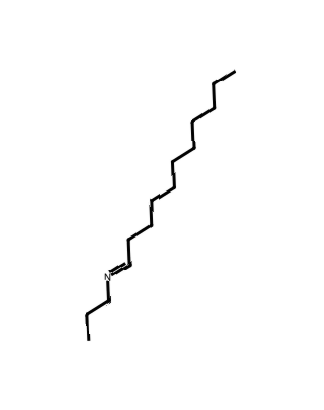 CCCCCCCCCC/C=N/CCC